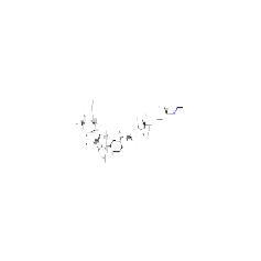 C/C=C/C(=O)CCCC(=O)NCC(=O)Nc1ccc2c(c1)N(c1nc3c(s1)C(=O)NC(C)(C)C3)CCO2